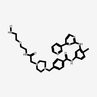 Cc1ccc(NC(=O)c2ccc(CN3CCN(CC(=O)NCCOCCNCl)CC3)cc2)cc1Nc1nccc(-c2cccnc2)n1